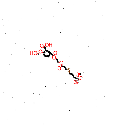 CO[Si](CCCSCCC(=O)OCCOC(=O)c1ccc(OCO)c(C(=O)O)c1)(OC)OC